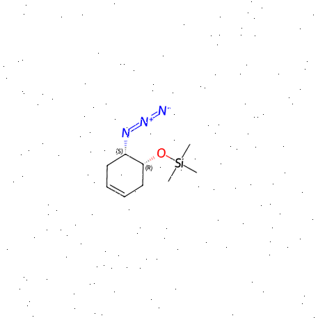 C[Si](C)(C)O[C@@H]1CC=CC[C@@H]1N=[N+]=[N-]